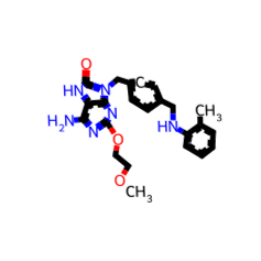 COCCOc1nc(N)c2[nH]c(=O)n(Cc3ccc(CNc4ccccc4C)cc3)c2n1